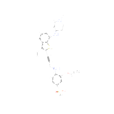 CCN1CCC(Nc2cccc3c(CC(F)(F)F)c(C#CCNc4ccc(S(C)(=O)=O)cc4OCC#N)sc23)CC1